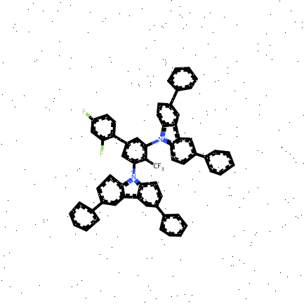 Fc1ccc(-c2cc(-n3c4ccc(-c5ccccc5)cc4c4cc(-c5ccccc5)ccc43)c(C(F)(F)F)c(-n3c4ccc(-c5ccccc5)cc4c4cc(-c5ccccc5)ccc43)c2)c(F)c1